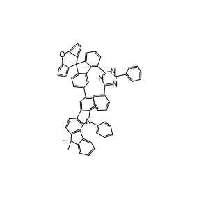 CC1(C)c2ccccc2-c2c1ccc1c3cc(-c4ccc5c(c4)-c4c(-c6nc(-c7ccccc7)nc(-c7ccccc7)n6)cccc4C54c5ccccc5Oc5ccccc54)ccc3n(-c3ccccc3)c21